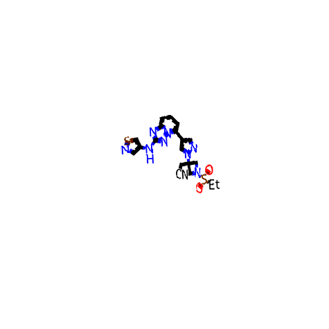 CCS(=O)(=O)N1CC(CC#N)(n2cc(-c3cccc4nc(Nc5cnsc5)nn34)cn2)C1